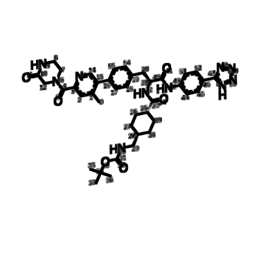 Cc1cc(C(=O)N2CCNC(=O)C2)ncc1-c1ccc(C[C@H](NC(=O)[C@H]2CC[C@H](CNC(=O)OC(C)(C)C)CC2)C(=O)Nc2ccc(-c3nnn[nH]3)cc2)cc1